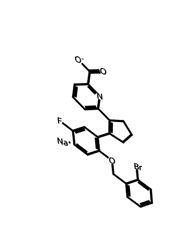 O=C([O-])c1cccc(C2=C(c3cc(F)ccc3OCc3ccccc3Br)CCC2)n1.[Na+]